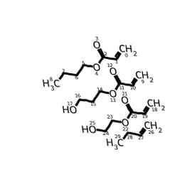 C=CC(=O)OCCCC.C=CC(=O)OCCCO.C=CC(=O)OCCO.C=CCC